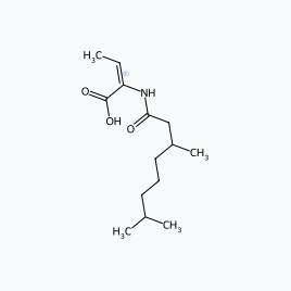 C/C=C(/NC(=O)CC(C)CCCC(C)C)C(=O)O